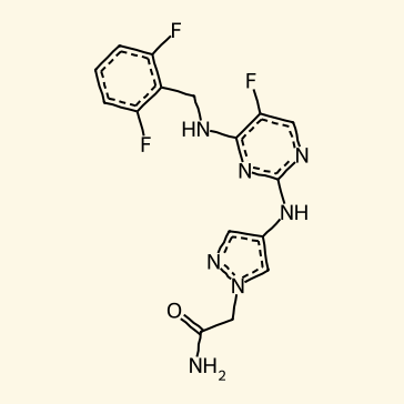 NC(=O)Cn1cc(Nc2ncc(F)c(NCc3c(F)cccc3F)n2)cn1